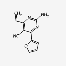 C=Cc1nc(N)nc(-c2ccco2)c1C#N